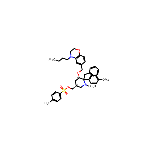 COCCCN1CCOc2ccc(CO[C@@H]3C[C@H](COS(=O)(=O)c4ccc(C)cc4)CN(C(=O)O)C3(Cc3ccccc3)c3ccc(OC)cc3)cc21